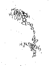 C[C@@H](Nc1ccc(C#N)n(C)c1=O)c1cc2cc(Cl)c(C3CC(OCCOCCOCCOCCOCCN(C)C(=O)N4N=C(c5cc(F)ccc5F)SC4(CCCN)c4ccccc4)C3)cc2[nH]c1=O